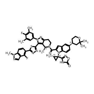 Cc1cc(-n2nc3c(c2-c2nnc(-c4ccc5c(cnn5C)c4F)s2)[C@H](C)N(C(=O)c2cc4cc([C@H]5CCOC(C)(C)C5)ccc4n2[C@@]2(c4noc(=O)[nH]4)C[C@@H]2C)CC3)cc(C)c1F